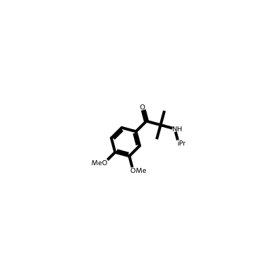 COc1ccc(C(=O)C(C)(C)NC(C)C)cc1OC